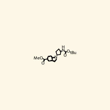 COC(=O)c1ccc2c(ccn2C2CC[C@@H](NC(=O)OC(C)(C)C)C2)c1